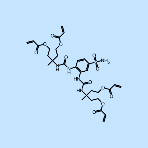 C=CC(=O)OCCC(C)(CCOC(=O)C=C)NC(=O)Nc1ccc(S(N)(=O)=O)cc1NC(=O)NC(C)(CCOC(=O)C=C)CCOC(=O)C=C